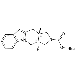 CC(C)(C)OC(=O)N1C[C@H]2Cc3cc4ccccc4n3C[C@@H]2C1